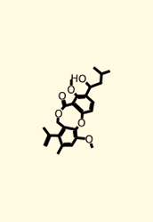 C=C(C)c1c(C)cc(OC)c2c1COC(=O)c1c(ccc(C(O)CC(C)C)c1OC)O2